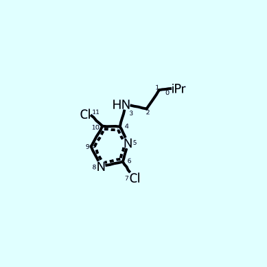 CC(C)CCNc1nc(Cl)ncc1Cl